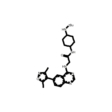 Cc1noc(C)c1-c1ccc2ncnc(NCC(=O)NC3CCC(NC(C)(C)C)CC3)c2c1